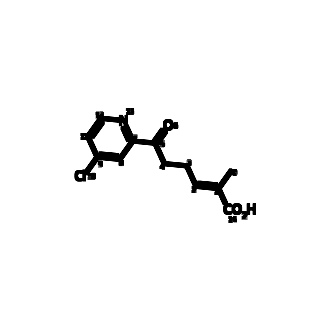 C/C(=C\CCC(=O)c1cc(Cl)ccn1)C(=O)O